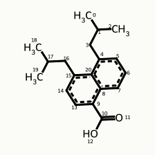 CC(C)Cc1cccc2c(C(=O)O)ccc(CC(C)C)c12